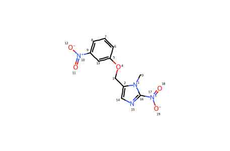 Cn1c(COc2cccc([N+](=O)[O-])c2)cnc1[N+](=O)[O-]